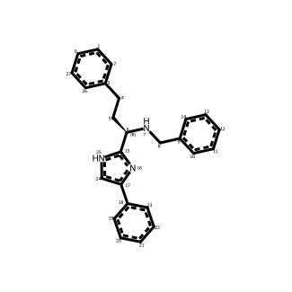 c1ccc(CC[C@@H](NCc2ccccc2)c2nc(-c3ccccc3)c[nH]2)cc1